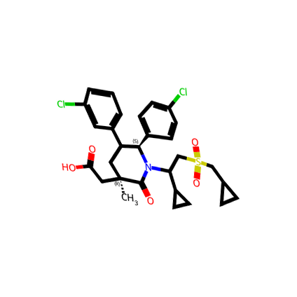 C[C@]1(CC(=O)O)CC(c2cccc(Cl)c2)[C@@H](c2ccc(Cl)cc2)N(C(CS(=O)(=O)CC2CC2)C2CC2)C1=O